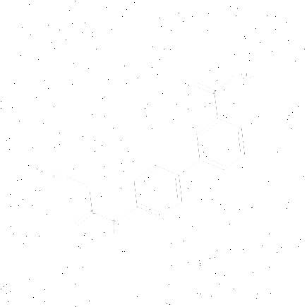 COC(=O)c1cccc(-c2ccc(NC(=O)OC(C)(C)C)nc2)c1